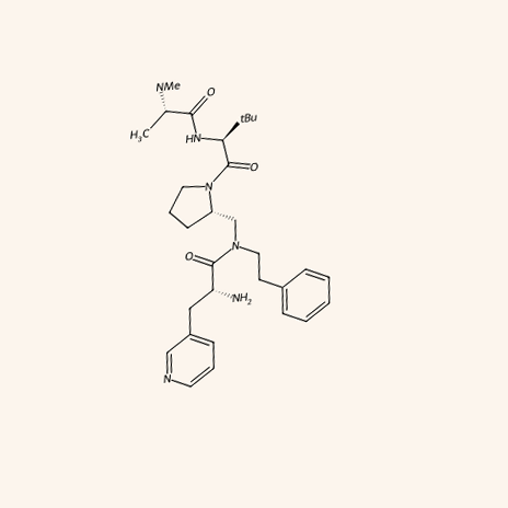 CN[C@@H](C)C(=O)N[C@H](C(=O)N1CCC[C@H]1CN(CCc1ccccc1)C(=O)[C@H](N)Cc1cccnc1)C(C)(C)C